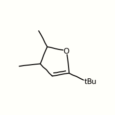 CC1C=C(C(C)(C)C)OC1C